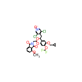 COc1cccc2c1C(=O)N(CC(=O)OC(Cc1c(Cl)c[n+]([O-])cc1Cl)c1ccc(OC(F)F)c(OCC3CC3)c1)C2=O